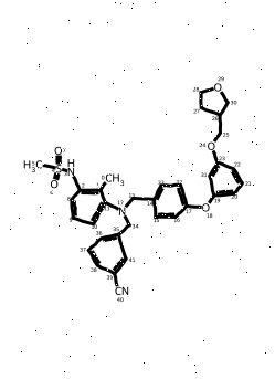 Cc1c(NS(C)(=O)=O)cccc1N(Cc1ccc(Oc2cccc(OCC3CCOC3)c2)cc1)Cc1cccc(C#N)c1